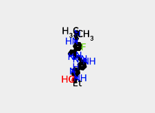 CCC(O)Nc1cncc(-c2ccc3[nH]nc(-c4nc5c(-c6cc(F)cc(NCCN(C)C)c6)ccnc5[nH]4)c3c2)c1